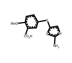 COc1ccc(Sc2cnc(N)s2)cc1C(=O)O